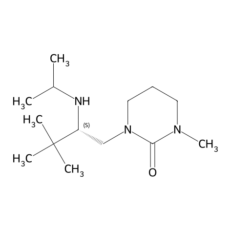 CC(C)N[C@H](CN1CCCN(C)C1=O)C(C)(C)C